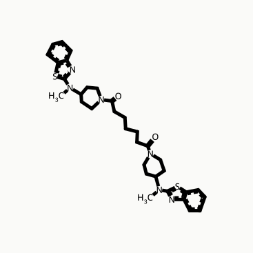 CN(c1nc2ccccc2s1)C1CCN(C(=O)CCCCCC(=O)N2CCC(N(C)c3nc4ccccc4s3)CC2)CC1